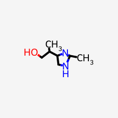 CC1=NC(C(C)CO)CN1